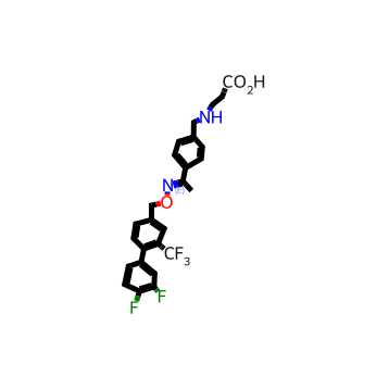 C/C(=N\OCc1ccc(-c2ccc(F)c(F)c2)c(C(F)(F)F)c1)c1ccc(CNCCC(=O)O)cc1